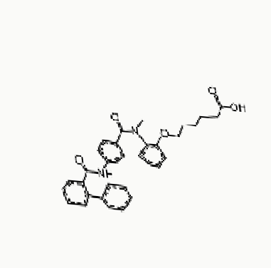 CN(C(=O)c1ccc(NC(=O)c2ccccc2-c2ccccc2)cc1)c1ccccc1OCCCCCC(=O)O